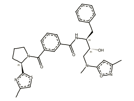 Cc1cc(N(C)C[C@@H](O)[C@H](Cc2ccccc2)NC(=O)c2cccc(C(=O)N3CCC[C@@H]3c3nc(C)cs3)c2)on1